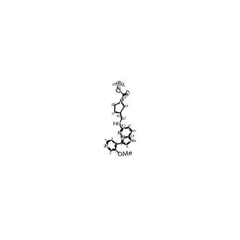 COc1cnccc1-c1cnc2ccc(NCC3CCN(C(=O)OC(C)(C)C)C3)nn12